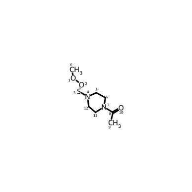 COOSN1CCN(C(C)=O)CC1